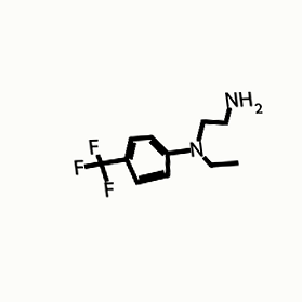 CCN(CCN)c1ccc(C(F)(F)F)cc1